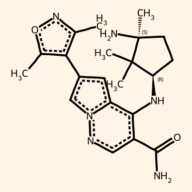 Cc1noc(C)c1-c1cc2c(N[C@@H]3CC[C@](C)(N)C3(C)C)c(C(N)=O)cnn2c1